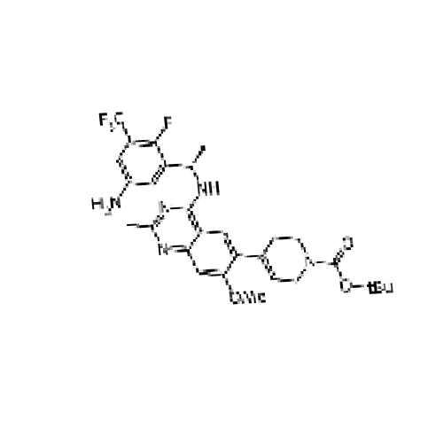 COc1cc2nc(C)nc(N[C@H](C)c3cc(N)cc(C(F)(F)F)c3F)c2cc1C1=CCN(C(=O)OC(C)(C)C)CC1